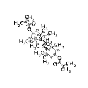 C=C(C)C(=O)OC1CC(C)(C)N(SSN2C(C)(CC)CC(OC(=O)C(=C)C)CC2(C)CC)C(C)(C)C1